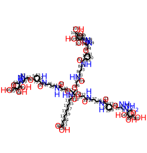 N/C(=C\N(N)[C@H]1CO[C@H](CO)[C@H](O)[C@@H]1O)COc1cccc(C(=O)NCCCCNC(=O)CCOCC(COCCC(=O)NCCCCNC(=O)c2cccc(OCc3cn(C4CO[C@H](CO)[C@H](O)[C@@H]4O)nn3)c2)(COCCC(=O)NCCCCNC(=O)c2cccc(OCc3cn([C@H]4CO[C@H](CO)[C@H](O)[C@@H]4O)nn3)c2)NC(=O)CCCCCCCCCCC(=O)O)c1